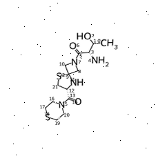 CC(O)[C@H](N)C(=O)N1CC2(C1)N[C@H](C(=O)N1CCSCC1)CS2